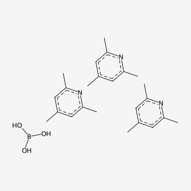 Cc1cc(C)nc(C)c1.Cc1cc(C)nc(C)c1.Cc1cc(C)nc(C)c1.OB(O)O